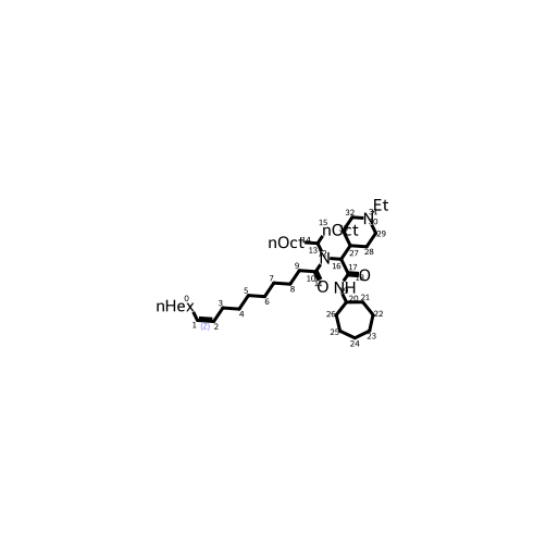 CCCCCC/C=C\CCCCCCCC(=O)N(C(CCCCCCCC)CCCCCCCC)C(C(=O)NC1CCCCCC1)C1CCN(CC)CC1